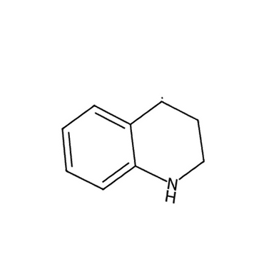 [CH]1CCNc2ccccc21